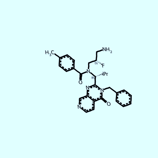 Cc1ccc(C(=O)N(C[C@@H](F)CN)[C@@H](c2nc3cnccc3c(=O)n2Cc2ccccc2)C(C)C)cc1